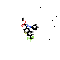 CCOC(=O)c1nn(-c2ccccc2)c2c1CSc1cc(C(F)(F)F)ccc1-2